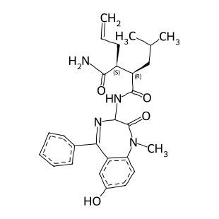 C=CC[C@H](C(N)=O)[C@@H](CC(C)C)C(=O)NC1N=C(c2ccccc2)c2cc(O)ccc2N(C)C1=O